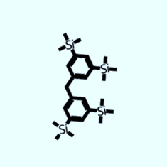 C[Si](C)(C)c1cc(Cc2cc([Si](C)(C)C)cc([Si](C)(C)C)c2)cc([Si](C)(C)C)c1